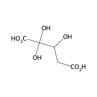 O=C(O)CC(O)C(O)(O)C(=O)O